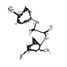 Cc1cc(F)ccc1NC(C)C(=O)Nc1ccc(C#N)cc1